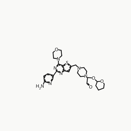 Nc1ccc(-c2nc(N3CCOCC3)c3sc(CN4CCN(C(C=O)OC5CCCCO5)CC4)cc3n2)cn1